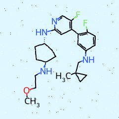 COCCN[C@H]1CC[C@H](Nc2cc(-c3cc(NCC4(C)CC4)ccc3F)c(F)cn2)CC1